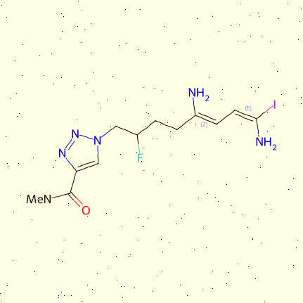 CNC(=O)c1cn(CC(F)CC/C(N)=C/C=C(\N)I)nn1